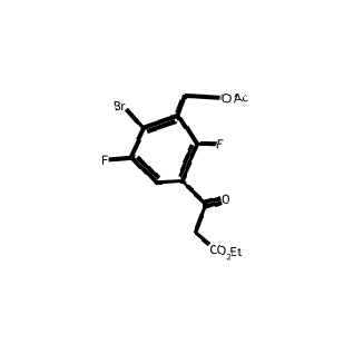 CCOC(=O)CC(=O)c1cc(F)c(Br)c(COC(C)=O)c1F